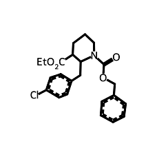 CCOC(=O)C1CCCN(C(=O)OCc2ccccc2)C1Cc1ccc(Cl)cc1